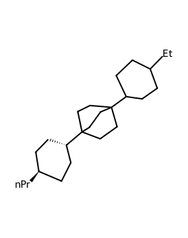 CCC[C@H]1CC[C@H](C23CCC(C4CCC(CC)CC4)(CC2)CC3)CC1